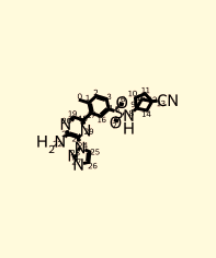 Cc1ccc(S(=O)(=O)NC23CCC(C#N)(C2)C3)cc1-c1cnc(N)c(-n2ccnn2)n1